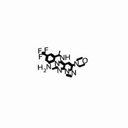 Cc1nc(N[C@H](C)c2cc(N)cc(C(F)(F)F)c2)c2cc(N3CCOCC3)c3nccn3c2n1